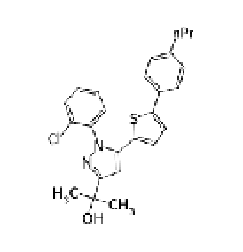 CCCc1ccc(-c2ccc(-c3cc(C(C)(C)O)nn3-c3ccccc3Cl)s2)cc1